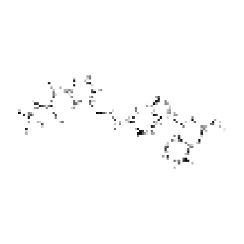 COC(=O)CC(c1cccnc1)n1ccc2cc(OCCc3cccc(N(C)C(=O)OC(C)(C)C)n3)ccc21